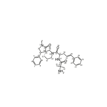 CN1CC(c2ccccc2)[C@@]2(CCCN(C(=O)C(CC=Cc3ccccc3)NC(=O)C(C)(C)N)C2)C1=O